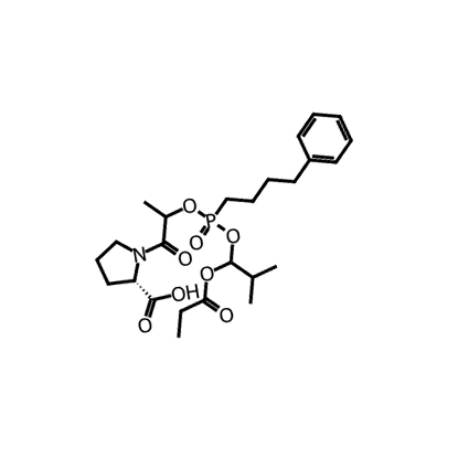 CCC(=O)OC(OP(=O)(CCCCc1ccccc1)OC(C)C(=O)N1CCC[C@H]1C(=O)O)C(C)C